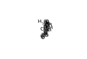 CS(=O)(=O)N1CCC=C(CC(NC(=O)c2c(Cl)cc3c(c2Cl)CCN(C(=O)c2ccc4ccoc4c2)C3)C(=O)O)C1